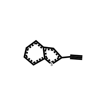 C#Cc1cc2ccccc2s1